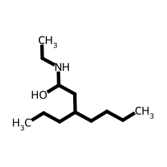 CCCCC(CCC)CC(O)NCC